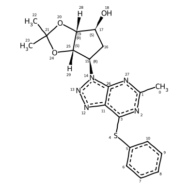 Cc1nc(Sc2ccccc2)c2nnn([C@@H]3C[C@H](O)[C@H]4OC(C)(C)O[C@H]43)c2n1